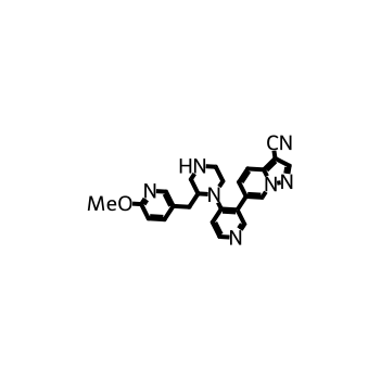 COc1ccc(CC2CNCCN2c2ccncc2-c2ccc3c(C#N)cnn3c2)cn1